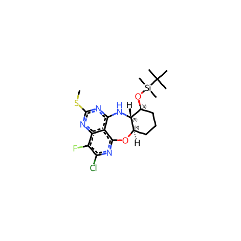 CSc1nc2c3c(nc(Cl)c(F)c3n1)O[C@@H]1CCC[C@H](O[Si](C)(C)C(C)(C)C)[C@H]1N2